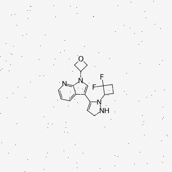 FC1(F)CCC1N1NCC=C1c1cn(C2COC2)c2ncccc12